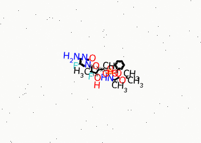 CC(C)OC(=O)[C@H](C)NP(=O)(Oc1ccccc1)O[C@@H](C)[C@H]1O[C@@H](n2cc(F)c(N)nc2=O)C(C)(F)[C@H]1O